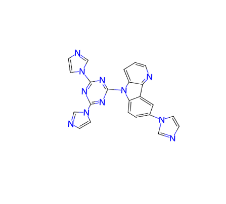 c1cnc2c3cc(-n4ccnc4)ccc3n(-c3nc(-n4ccnc4)nc(-n4ccnc4)n3)c2c1